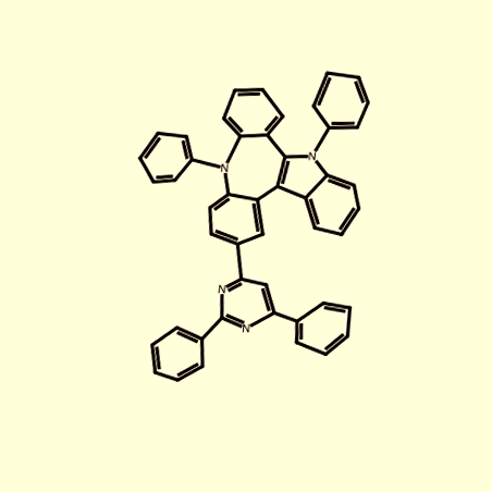 c1ccc(-c2cc(-c3ccc4c(c3)-c3c(n(-c5ccccc5)c5ccccc35)-c3ccccc3N4c3ccccc3)nc(-c3ccccc3)n2)cc1